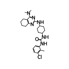 Cc1c(Cl)cccc1NC(=O)NC1CCC(Nc2nc3c(c(N(C)C)n2)CCCC3)CC1